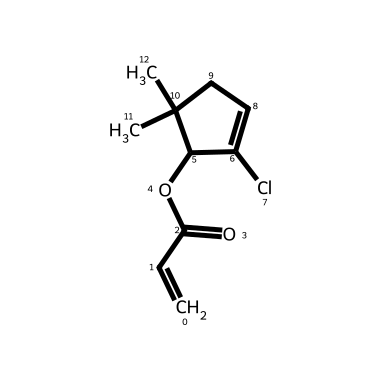 C=CC(=O)OC1C(Cl)=CCC1(C)C